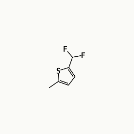 Cc1ccc(C(F)F)s1